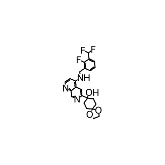 OC1(c2cc3c(NCc4cccc(C(F)F)c4F)ccnc3cn2)CCC2(CC1)OCCO2